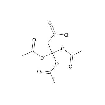 CC(=O)OC(CC(=O)Cl)(OC(C)=O)OC(C)=O